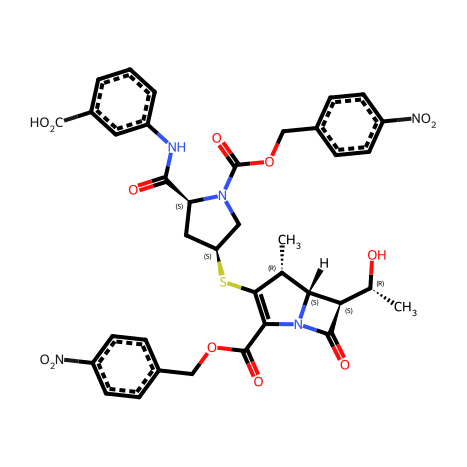 C[C@@H](O)[C@H]1C(=O)N2C(C(=O)OCc3ccc([N+](=O)[O-])cc3)=C(S[C@H]3C[C@@H](C(=O)Nc4cccc(C(=O)O)c4)N(C(=O)OCc4ccc([N+](=O)[O-])cc4)C3)[C@H](C)[C@H]12